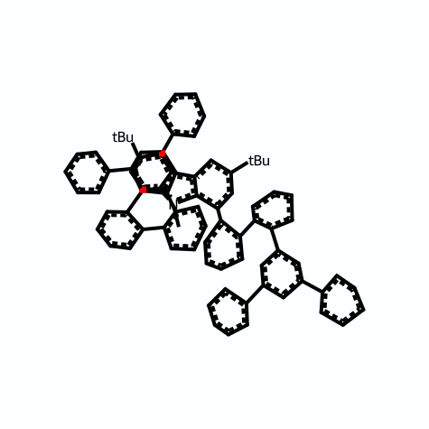 Cn1c2c(-c3ccccc3-c3ccccc3-c3cc(-c4ccccc4)cc(-c4ccccc4)c3)cc(C(C)(C)C)cc2c2cc(C(C)(C)C)cc(-c3ccccc3-c3ccccc3-c3cc(-c4ccccc4)cc(-c4ccccc4)c3)c21